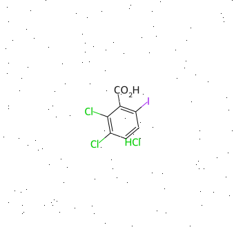 Cl.O=C(O)c1c(I)ccc(Cl)c1Cl